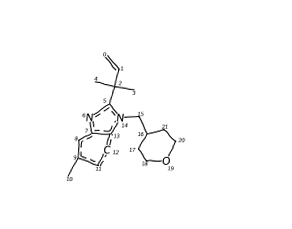 C=CC(C)(C)c1nc2cc(C)ccc2n1CC1CCOCC1